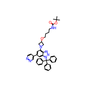 CC(C)(C)OC(=O)NCCCCOC1CN(c2cc(-c3ccnnc3)cc3c2nnn3C(c2ccccc2)(c2ccccc2)c2ccccc2)C1